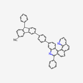 N#Cc1ccc2c(c1)-c1cc(-c3ccc(-c4ccc5c(c4)nc(-c4ccccc4)c4ccc6ccc7cccnc7c6c45)cc3)ccc1C2c1ccccc1